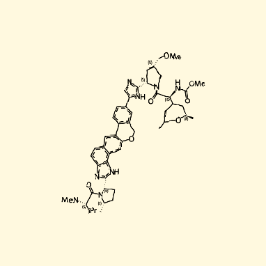 CN[C@H](C(=O)N1[C@@H](C)CC[C@H]1c1nc2ccc3cc4c(cc3c2[nH]1)OCc1cc(-c2cnc([C@@H]3C[C@H](COC)CN3C(=O)[C@@H](NC(=O)OC)C3CC(C)O[C@H](C)C3)[nH]2)ccc1-4)C(C)C